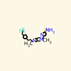 C=C(CCc1ccc(CC(F)(F)F)cc1)N1CC2=C(C1)CN(C(=C)c1ccc(SN)cn1)C2